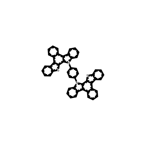 c1ccc2c(c1)sc1c2c2ccccc2c2c3ccccc3n(-c3ccc(-n4c5ccccc5c5c6ccccc6c6c7ccccc7sc6c54)cc3)c12